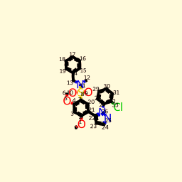 COc1cc(OC)c(S(=O)(=O)N(C)Cc2ccccc2)cc1-c1ccnn1-c1ccccc1Cl